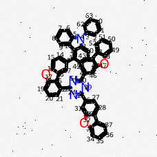 c1ccc(-n2c3ccccc3c3c(-c4ccc5oc6cccc(-c7nc(-c8ccc9c(c8)oc8ccccc89)nc(-c8ccc9c(c8)oc8ccccc89)n7)c6c5c4)cccc32)cc1